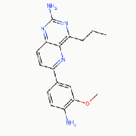 CCCc1nc(N)nc2ccc(-c3ccc(N)c(OC)c3)nc12